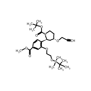 C#CCO[C@H]1CCN(C(=O)OC(C)(C)C)[C@H](c2ccc(C(=O)OC)cc2OCCO[Si](C)(C)C(C)(C)C)C1